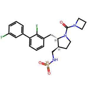 O=C(N1CCC1)N1CC[C@@H](CN[SH](=O)=O)[C@@H]1Cc1cccc(-c2cccc(F)c2)c1F